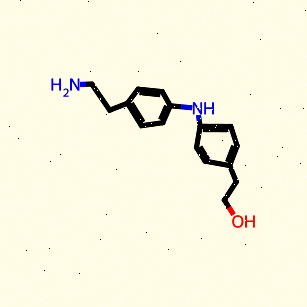 NCCc1ccc(Nc2ccc(CCO)cc2)cc1